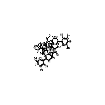 CCC(=O)N[B](NC(=O)CC)[Hf]([Cl])([Cl])([CH]1C(C(C)CC)=Cc2c(-c3cc(C)cc(C)c3C)cccc21)[CH]1C(C(C)CC)=Cc2c(-c3cc(C)cc(C)c3C)cccc21